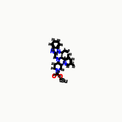 C=CCn1c(CN(Cc2ncc(C)cc2C)C2CCN(C(=O)OC(C)(C)C)CC2)nc2ccccc21